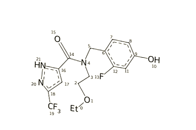 CCOCCN(Cc1ccc(O)cc1F)C(=O)c1cc(C(F)(F)F)n[nH]1